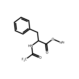 CCCOC(=O)C(Cc1ccccc1)NC(=O)C(F)(F)F